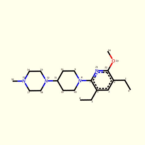 CCc1cc(CC)c(N2CCC(N3CCN(C)CC3)CC2)nc1OC